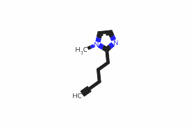 C#CCCCc1nccn1C